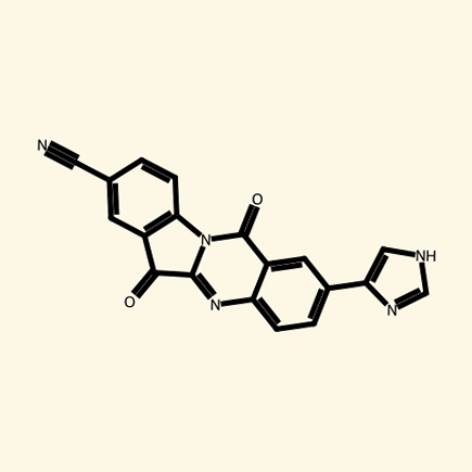 N#Cc1ccc2c(c1)C(=O)c1nc3ccc(-c4c[nH]cn4)cc3c(=O)n1-2